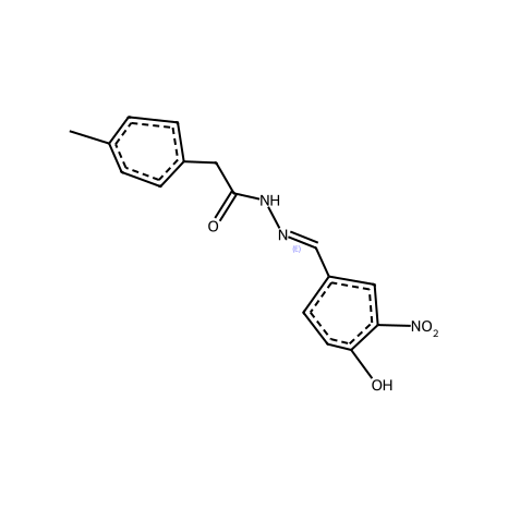 Cc1ccc(CC(=O)N/N=C/c2ccc(O)c([N+](=O)[O-])c2)cc1